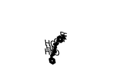 O=C(NCCc1ccccc1)NCC(O)COc1ccc(C(F)(F)F)cc1